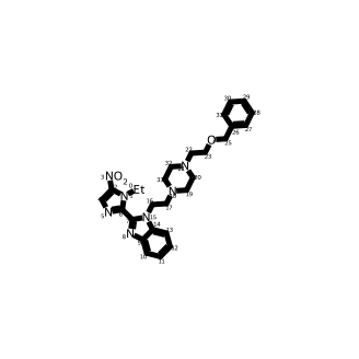 CCn1c([N+](=O)[O-])cnc1-c1nc2ccccc2n1CCN1CCN(CCOCc2ccccc2)CC1